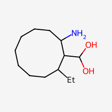 CCC1CCCCCCCC(N)C1C(O)O